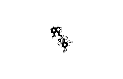 CCc1cccc(CC)c1C(=O)CC[PH](=O)C(=O)c1c(OC)cc(OC)cc1OC